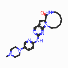 CN1CCN(c2ccc(Nc3ncc4cc5n(c4n3)CCCCCCNC5=O)nc2)CC1